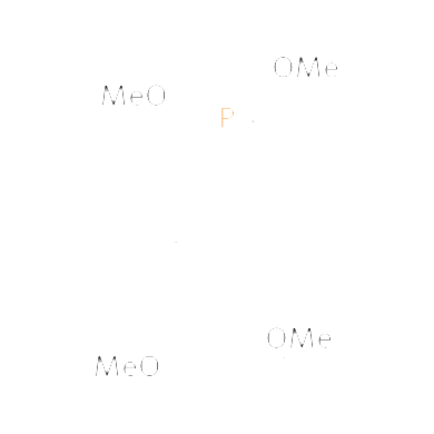 COC(CCP(OC)OC)OC